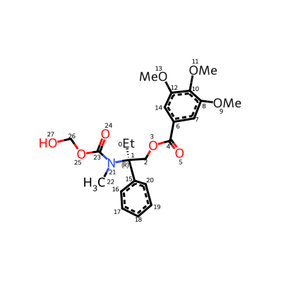 CC[C@](COC(=O)c1cc(OC)c(OC)c(OC)c1)(c1ccccc1)N(C)C(=O)OCO